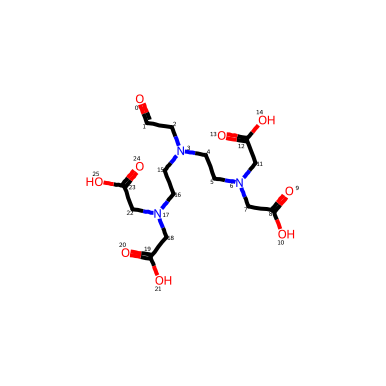 O=CCN(CCN(CC(=O)O)CC(=O)O)CCN(CC(=O)O)CC(=O)O